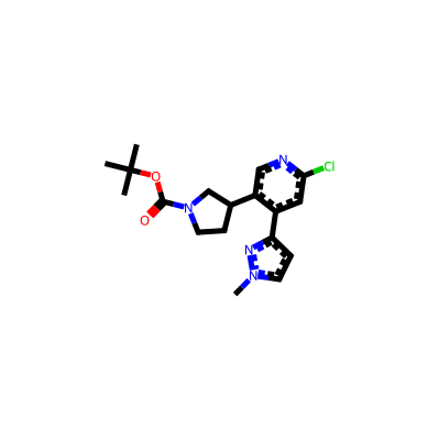 Cn1ccc(-c2cc(Cl)ncc2C2CCN(C(=O)OC(C)(C)C)C2)n1